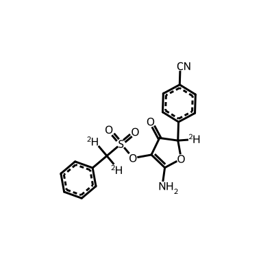 [2H]C1(c2ccc(C#N)cc2)OC(N)=C(OS(=O)(=O)C([2H])([2H])c2ccccc2)C1=O